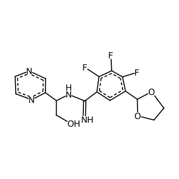 N=C(NC(CO)c1cnccn1)c1cc(C2OCCO2)c(F)c(F)c1F